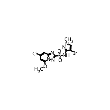 COc1cc(Cl)cc2nc(S(=O)(=O)Nc3nn(C)cc3Br)nn12